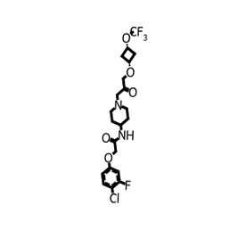 O=C(CO[C@H]1C[C@@H](OC(F)(F)F)C1)CN1CCC(NC(=O)COc2ccc(Cl)c(F)c2)CC1